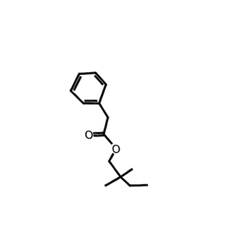 CCC(C)(C)COC(=O)Cc1ccccc1